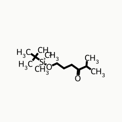 CC(C)C(=O)CCCO[Si](C)(C)C(C)(C)C